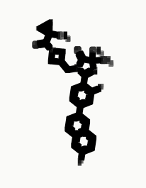 CC1(C(=O)N2CC(CN3C(=O)C(C)(C)N=C3c3ccc(-c4ccc5cc(F)ccc5c4)cc3F)C2)CC1